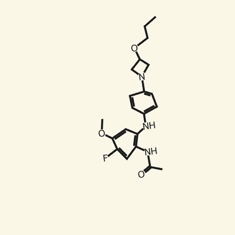 CCCOC1CN(c2ccc(Nc3cc(OC)c(F)cc3NC(C)=O)cc2)C1